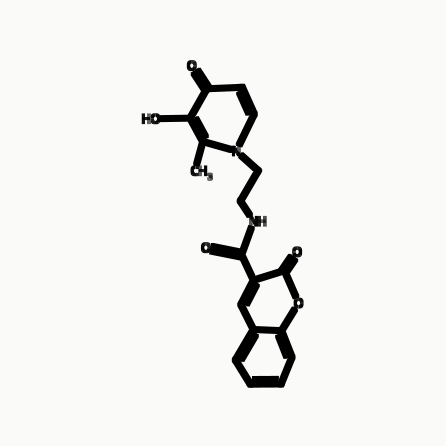 Cc1c(O)c(=O)ccn1CCNC(=O)c1cc2ccccc2oc1=O